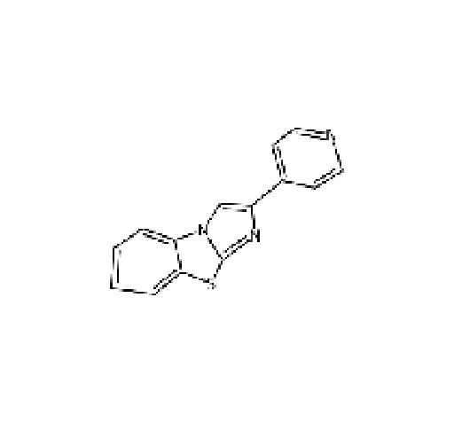 c1ccc2c(c1)sc1nc(-c3ccncc3)cn12